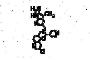 Cc1c(N)[nH]c2ncc(CN(Cc3ccc4ncc(Cl)cc4c3)C(=O)c3ccncc3)cc12